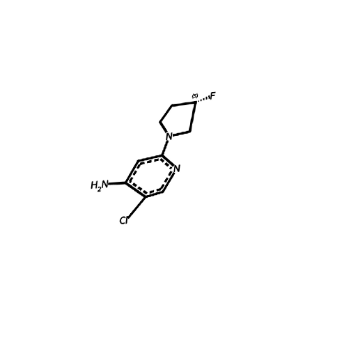 Nc1cc(N2CC[C@H](F)C2)ncc1Cl